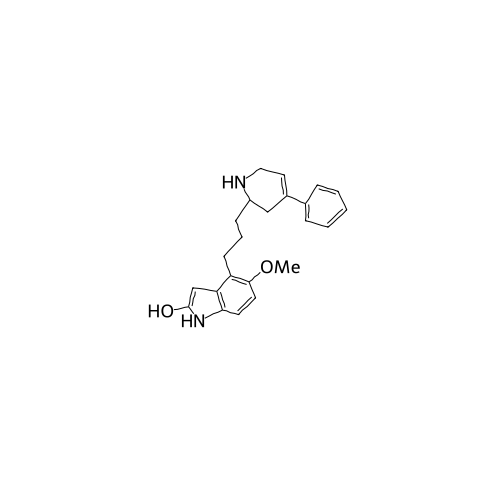 COc1ccc2[nH]c(O)cc2c1CCCC1CC(c2ccccc2)=CCN1